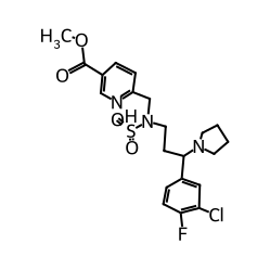 COC(=O)c1ccc(CN(CCC(c2ccc(F)c(Cl)c2)N2CCCC2)[SH](=O)=O)nc1